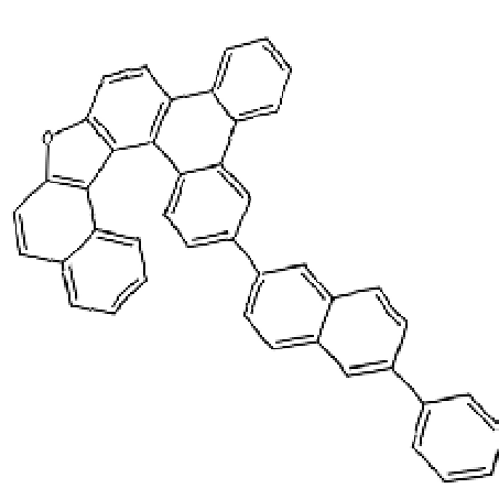 c1ccc(-c2ccc3cc(-c4ccc5c(c4)c4ccccc4c4ccc6oc7ccc8ccccc8c7c6c45)ccc3c2)cc1